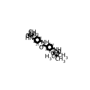 CC(C)(C)S(=O)(=O)Nc1ccc(C(=O)Nc2ccc(NS(C)(=O)=O)cc2)cc1